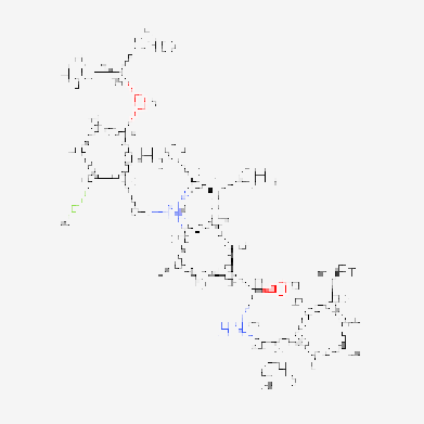 Cc1c(C)n(Cc2cc(O[C@@H](C)C=O)ccc2F)c2ccc(C(=O)N[C@@H](C)c3cccc(C(C)C)c3)cc12